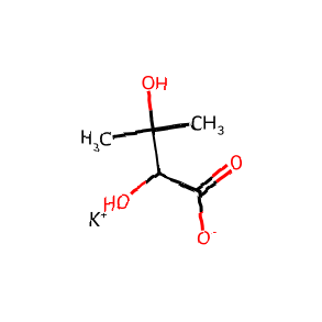 CC(C)(O)C(O)C(=O)[O-].[K+]